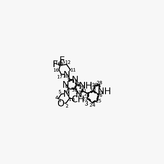 CC1COCCN1c1nc(N2CCC(F)(F)CC2)nc2[nH]c(-c3cccc4[nH]ccc34)nc12